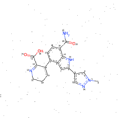 Cn1cc(-c2cc3c(C4=CCCN=C4C(=O)O)ccc(C(N)=O)c3[nH]2)cn1